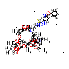 CC[C@H]1OC(=O)[C@H](C)[C@@H](O[C@@H](CCOC)O[C@@H](C)[C@@H](C)O)[C@H](C)[C@@H](O[C@@H]2O[C@H](C)C[C@H](N(C)C)[C@H]2O)[C@](C)(O)C[C@@H](C)CN(CCCNC(=S)Nc2ccc(Oc3ccccc3)nc2)[C@H](C)[C@@H](O)[C@]1(C)O